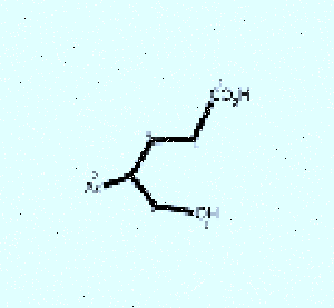 CC(=O)C(CO)CCC(=O)O